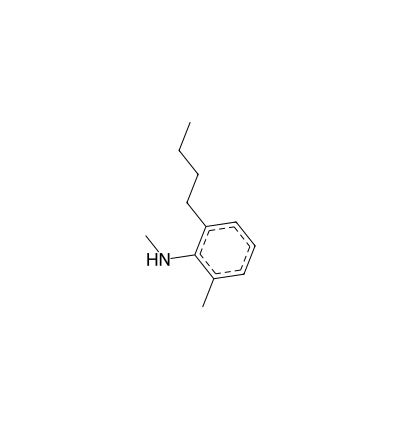 CCCCc1cccc(C)c1NC